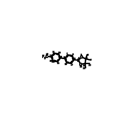 CC1(C)OB(c2ccc(-c3ccc(C(F)(F)F)nc3)cc2)OC1(C)C